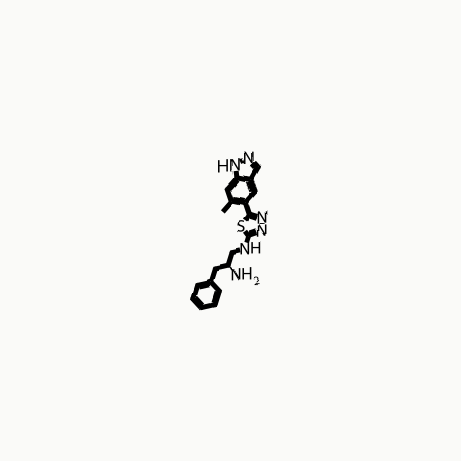 Cc1cc2[nH]ncc2cc1-c1nnc(NC[C@H](N)Cc2ccccc2)s1